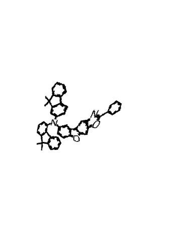 CC1(C)c2ccccc2-c2ccc(N(c3ccc4oc5cc6oc(-c7ccccc7)nc6cc5c4c3)c3cccc4c3-c3ccccc3C4(C)C)cc21